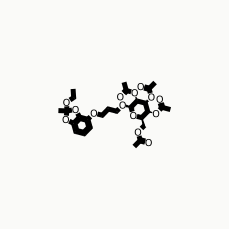 CCOC1(C)Oc2cccc(OCCCO[C@@H]3O[C@H](COC(C)=O)[C@@H](OC(C)=O)[C@H](OC(C)=O)[C@H]3OC(C)=O)c2O1